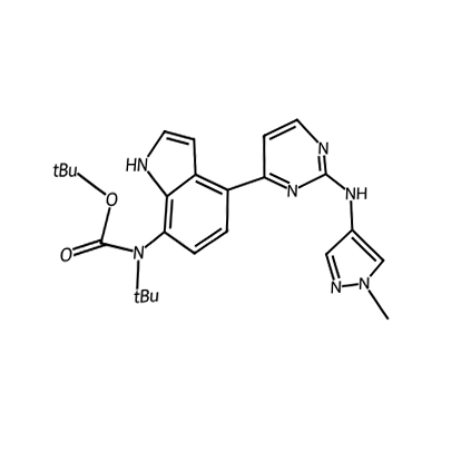 Cn1cc(Nc2nccc(-c3ccc(N(C(=O)OC(C)(C)C)C(C)(C)C)c4[nH]ccc34)n2)cn1